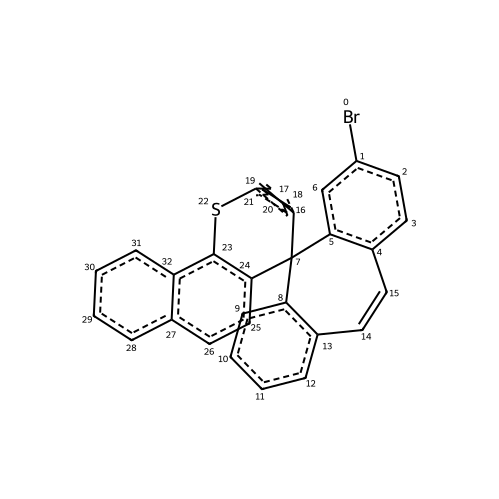 Brc1ccc2c(c1)C1(c3ccccc3C=C2)c2ccccc2Sc2c1ccc1ccccc21